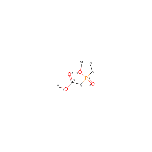 CCP(=O)(CC(=O)OC)OC